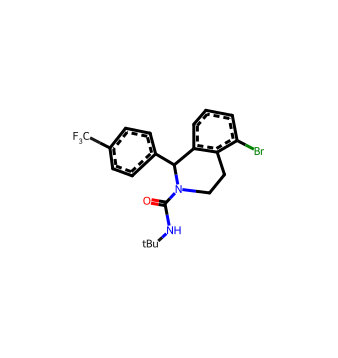 CC(C)(C)NC(=O)N1CCc2c(Br)cccc2C1c1ccc(C(F)(F)F)cc1